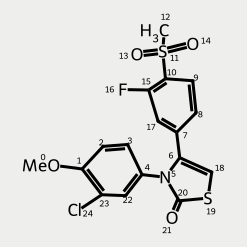 COc1ccc(-n2c(-c3ccc(S(C)(=O)=O)c(F)c3)csc2=O)cc1Cl